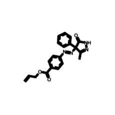 C=CCOC(=O)c1ccc(N=NC2(c3ccccc3)C(=O)NN=C2C)cc1